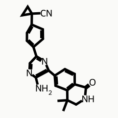 CC1(C)CNC(=O)c2ccc(-c3nc(-c4ccc(C5(C#N)CC5)cc4)cnc3N)cc21